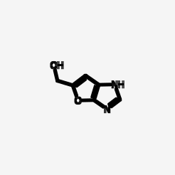 OCc1cc2[nH]cnc2o1